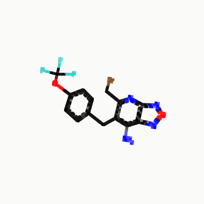 Nc1c(Cc2ccc(OC(F)(F)F)cc2)c(CBr)nc2nonc12